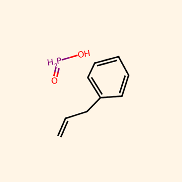 C=CCc1ccccc1.O=[PH2]O